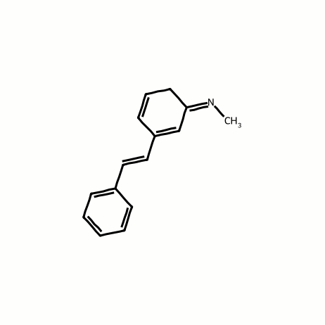 CN=C1C=C(C=Cc2ccccc2)C=CC1